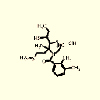 CCC(S)C1NCCN(C(=O)c2cccc(C)c2C)C1(N)CCSC.Cl.Cl